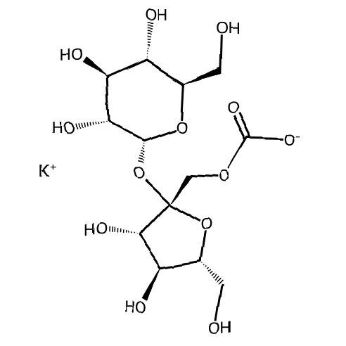 O=C([O-])OC[C@@]1(O[C@H]2O[C@H](CO)[C@@H](O)[C@H](O)[C@H]2O)O[C@H](CO)[C@@H](O)[C@@H]1O.[K+]